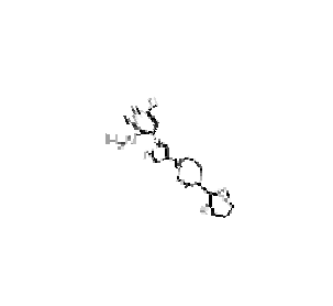 Nc1nnc(Cl)cc1-n1cc(N2CCC(C3OCCO3)CC2)cn1